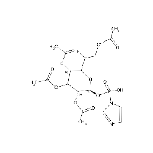 CC(=O)OCC(F)C1O[C@@H](OP(=O)(O)n2ccnc2)[C@H](OC(C)=O)C(OC(C)=O)[C@@H]1OC(C)=O